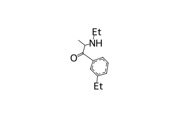 CCNC(C)C(=O)c1cccc(CC)c1